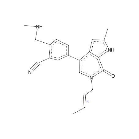 C/C=C/Cn1cc(-c2ccc(CNC)c(C#N)c2)c2cc(C)[nH]c2c1=O